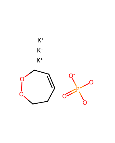 C1=CCOOCC1.O=P([O-])([O-])[O-].[K+].[K+].[K+]